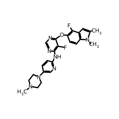 Cc1cc2c(F)c(Oc3ncnc(Nc4ccc(N5CCN(C)CC5)cn4)c3F)ccc2n1C